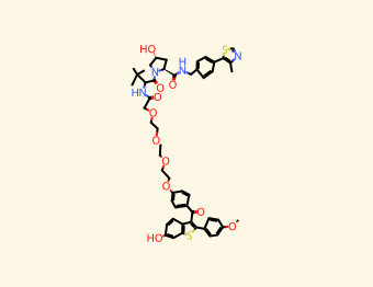 COc1ccc(-c2sc3cc(O)ccc3c2C(=O)c2ccc(OCCOCCOCCOCC(=O)NC(C(=O)N3C[C@H](O)C[C@H]3C(=O)NCc3ccc(-c4scnc4C)cc3)C(C)(C)C)cc2)cc1